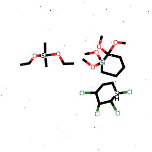 CCO[Si](C)(C)OCC.COC1(OC)CCCC[Si]1(OC)OC.ClC1CC[SiH](Cl)C(Cl)C1Cl